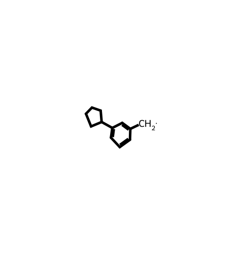 [CH2]c1cccc(C2CCCC2)c1